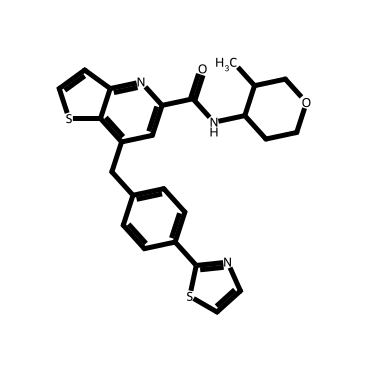 CC1COCCC1NC(=O)c1cc(Cc2ccc(-c3nccs3)cc2)c2sccc2n1